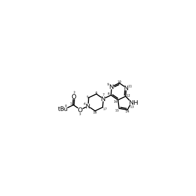 CC(C)(C)C(=O)ON1CCN(c2ncnc3[nH]ccc23)CC1